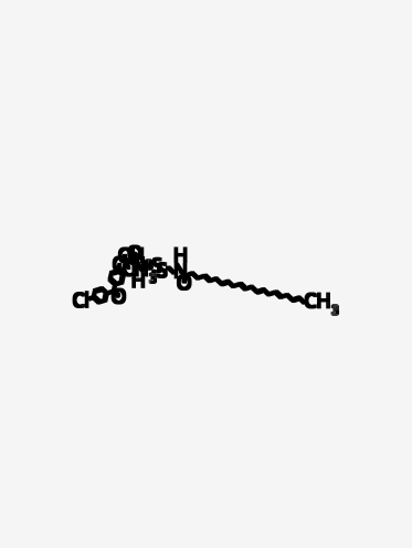 CCC=CCC=CCC=CCC=CCC=CCC=CCCC(=O)NCCSSCCNC(=O)C(C)(C)Oc1ccc(C(=O)c2ccc(Cl)cc2)cc1